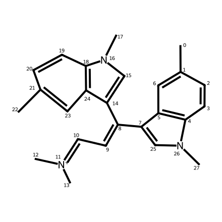 Cc1ccc2c(c1)c(C(=CC=[N+](C)C)c1cn(C)c3ccc(C)cc13)cn2C